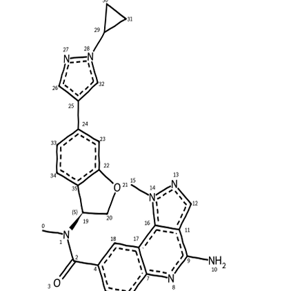 CN(C(=O)c1ccc2nc(N)c3cnn(C)c3c2c1)[C@@H]1COc2cc(-c3cnn(C4CC4)c3)ccc21